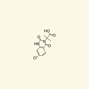 CC(C)(C(=O)O)n1c(=O)[nH]c2cc(Cl)ccc2c1=O